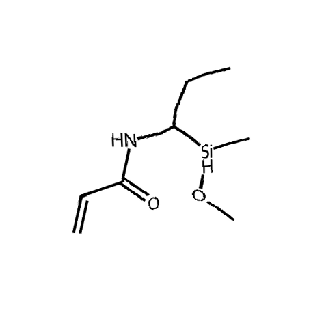 C=CC(=O)NC(CC)[SiH](C)OC